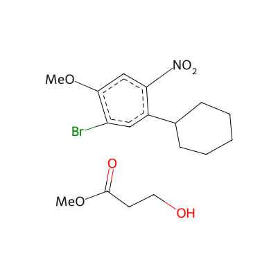 COC(=O)CCO.COc1cc([N+](=O)[O-])c(C2CCCCC2)cc1Br